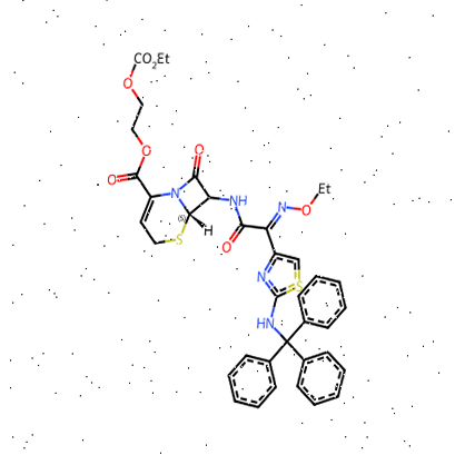 CCON=C(C(=O)NC1C(=O)N2C(C(=O)OCCOC(=O)OCC)=CCS[C@@H]12)c1csc(NC(c2ccccc2)(c2ccccc2)c2ccccc2)n1